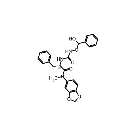 CN(C(=O)[C@H](Cc1ccccc1)NC(=O)NOC(O)c1ccccc1)c1ccc2c(c1)OCO2